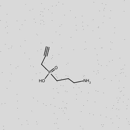 C#CCP(=O)(O)CCCN